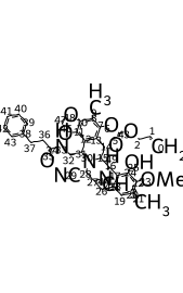 C=CCOC(=O)Oc1c(C)c2c(c3c1C[C@H]1C4c5c(cc(C)c(OC)c5O)CC([C@H](C#N)N1[C@H]3CNC(=O)CCc1ccccc1)N4C)OCO2